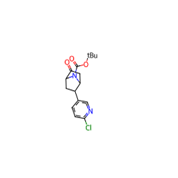 CC(C)(C)OC(=O)N1C2CC(c3ccc(Cl)nc3)C1CC2=O